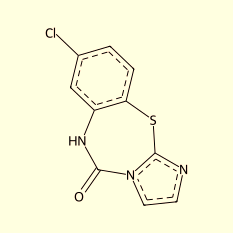 O=C1Nc2cc(Cl)ccc2Sc2nccn21